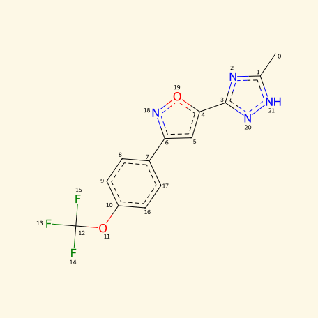 Cc1nc(-c2cc(-c3ccc(OC(F)(F)F)cc3)no2)n[nH]1